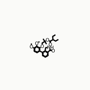 CCC(CC)C(=O)OC(C)(C)COc1c(-c2cccc3c2CNC3=O)ccc(OC)c1OC